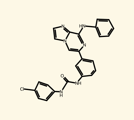 O=C(Nc1ccc(Cl)cc1)Nc1cccc(-c2cn3ccnc3c(Nc3ccccc3)n2)c1